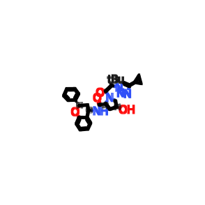 CC(C)(C)C(C(=O)N1C[C@H](O)C[C@H]1C(=O)N[C@@H]1C[C@@H](c2ccccc2)Oc2ccccc21)n1cc(C2CC2)nn1